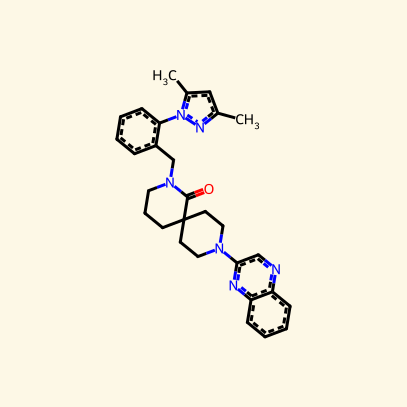 Cc1cc(C)n(-c2ccccc2CN2CCCC3(CCN(c4cnc5ccccc5n4)CC3)C2=O)n1